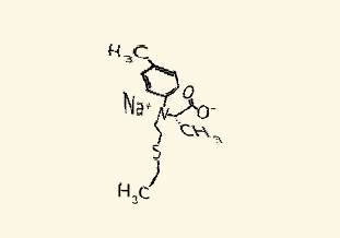 CCSCCN(c1ccc(C)cc1)[C@@H](C)C(=O)[O-].[Na+]